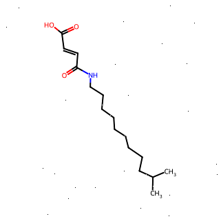 CC(C)CCCCCCCCCNC(=O)C=CC(=O)O